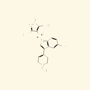 CCn1nc(C)c(S(=O)(=O)n2cc(C3=CCN(C)CC3)c3cc(C(F)(F)F)ccc32)c1C